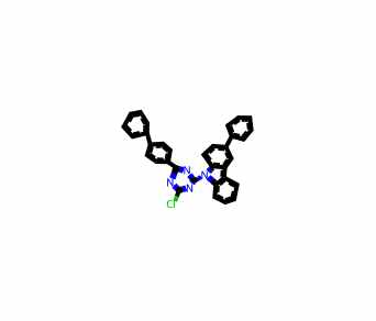 Clc1nc(-c2ccc(-c3ccccc3)cc2)nc(-n2c3ccccc3c3cc(-c4ccccc4)ccc32)n1